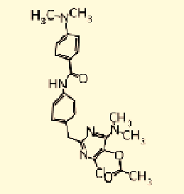 CC(=O)Oc1c(Cl)nc(Cc2ccc(NC(=O)c3ccc(N(C)C)cc3)cc2)nc1N(C)C